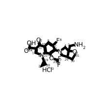 Cl.NCC12CN(c3c(F)cc4c(=O)c(C(=O)O)cn(C5CC5)c4c3OC(F)F)CC1CCO2